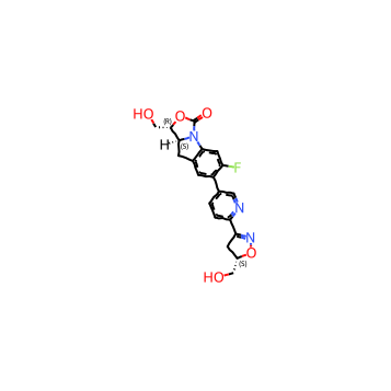 O=C1O[C@@H](CO)[C@@H]2Cc3cc(-c4ccc(C5=NO[C@H](CO)C5)nc4)c(F)cc3N12